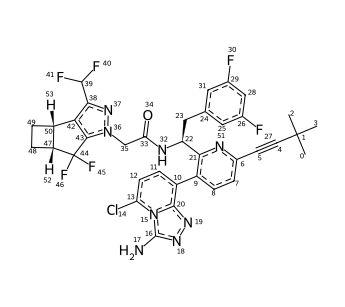 CC(C)(C)C#Cc1ccc(-c2ccc(Cl)n3c(N)nnc23)c([C@H](Cc2cc(F)cc(F)c2)NC(=O)Cn2nc(C(F)F)c3c2C(F)(F)[C@@H]2CC[C@H]32)n1